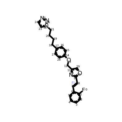 Fc1ccccc1/C=C/c1nc(COc2ccc(CCCCn3ccnn3)cc2)co1